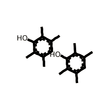 Cc1cc(C)c(C)c(O)c1C.Cc1cc(C)c(C)c(O)c1C